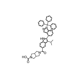 CC(C)c1c(-c2ccnc3c2cnn3C(c2ccccc2)(c2ccccc2)c2ccccc2)[nH]c2ccc(C(=O)N3CC4CN(C(=O)O)CC4C3)cc12